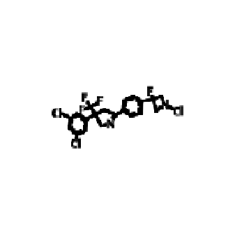 FC1(c2ccc(C3=NCC(c4cc(Cl)cc(Cl)c4)(C(F)(F)F)C3)cc2)CN(Cl)C1